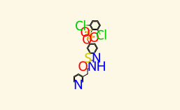 O=C(Cc1cccnc1)Nc1nc2ccc(OS(=O)(=O)c3c(Cl)cccc3Cl)cc2s1